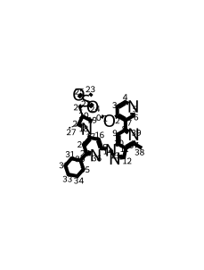 COc1ccncc1-c1cc2c(cnn2-c2cc(N3C[C@H](CS(C)(=O)=O)[C@H]3C)cc(C3CCCCC3)n2)c(C)n1